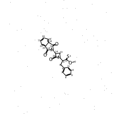 COC(=S)C(Cc1ccccc1)N1CC(N2C(=O)c3ccccc3C2=O)C1=O